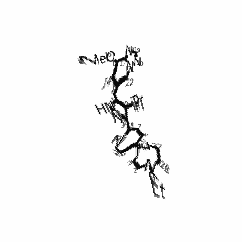 CCN1CCN(c2ccc(-c3n[nH]c(-c4cc(OC)c5ncnn5c4)c3C(C)C)nc2)CC1